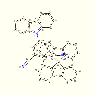 N#Cc1cc(-n2c3ccccc3c3ccccc32)cc(C#N)c1-c1ccccc1[Si](c1ccccc1)(c1ccccc1)c1ccccc1